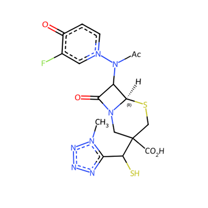 CC(=O)N(C1C(=O)N2CC(C(=O)O)(C(S)c3nnnn3C)CS[C@H]12)n1ccc(=O)c(F)c1